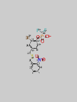 O=[N+]([O-])c1ccccc1CSCc1ccc(OP(=O)(O)C(F)F)c(Br)c1